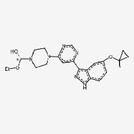 CCO[C@H](O)N1CCN(c2cc(-c3n[nH]c4ccc(OC5(C)CC5)cc34)ncn2)CC1